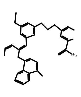 C=C(N)/C(C)=C/C(=C\C)CCCc1cc(/C=C(\C=C/C)Cc2ccc(C)c3ccccc23)cc(CC)c1